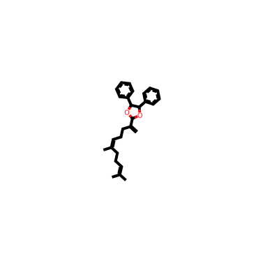 C=C(CCC=C(C)CCC=C(C)C)C1OC(c2ccccc2)C(c2ccccc2)O1